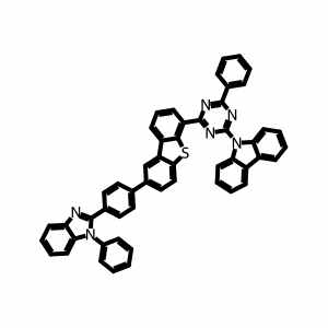 c1ccc(-c2nc(-c3cccc4c3sc3ccc(-c5ccc(-c6nc7ccccc7n6-c6ccccc6)cc5)cc34)nc(-n3c4ccccc4c4ccccc43)n2)cc1